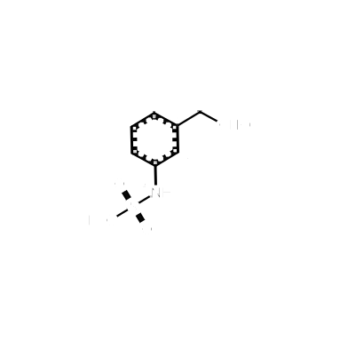 CS(=O)(=O)Nc1cccc(CC=O)c1